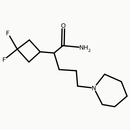 NC(=O)C(CCCN1CCCCC1)C1CC(F)(F)C1